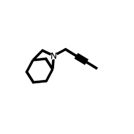 CC#CCN1CC2CCCC1C2